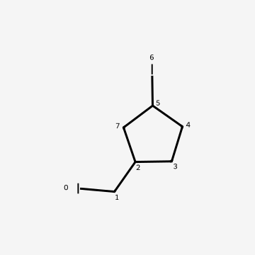 ICC1CCC(I)C1